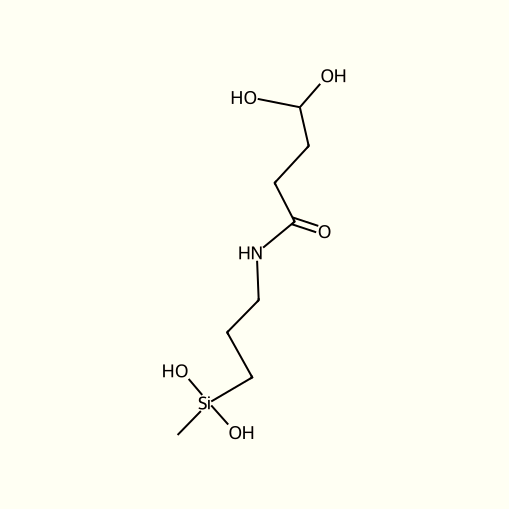 C[Si](O)(O)CCCNC(=O)CCC(O)O